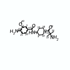 COc1cc(C(=O)NC2CCN(C(=O)C(C)(C)N)CC2)ccc1N